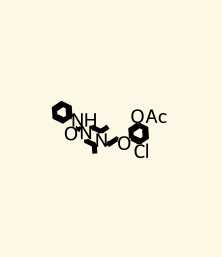 CC(=O)Oc1ccc(Cl)c(OCCN2C(C)CN(C(=O)Nc3ccccc3)CC2C)c1